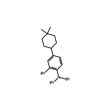 CC(C)c1cc(C2CCC(C)(C)CC2)ccc1N(C(C)C)C(C)C